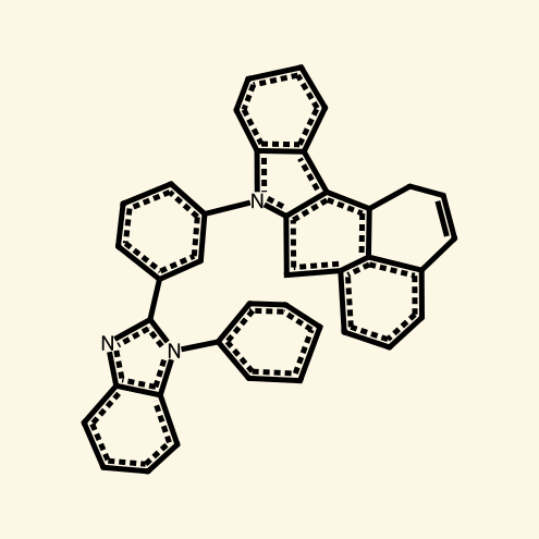 C1=Cc2cccc3cc4c(c(c23)C1)c1ccccc1n4-c1cccc(-c2nc3ccccc3n2-c2ccccc2)c1